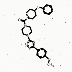 COc1ccc(-c2noc(N3CCN(C(=O)N4CCC(Oc5ccccc5)CC4)CC3)n2)cc1